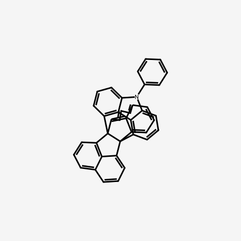 c1ccc(-n2c3cccc4c3c3c(cccc32)C23c5cccc6cccc(c56)C42c2cccc4cccc3c24)cc1